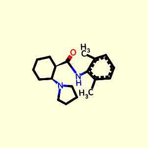 Cc1cccc(C)c1NC(=O)[C@@H]1CCCC[C@@H]1N1CCCC1